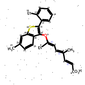 CC\C(=C/C=C(C)/C=C/C(=O)O)Oc1c(-c2ccccc2CC)sc2cc(C)ccc12